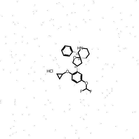 Cl.FC(F)Oc1ccc(OC2CC2)c([C@@H]2CO[C@]3(CCCN[C@H]3c3ccccc3)C2)c1